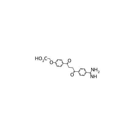 N=C(N)c1ccc(C(=O)CCC(=O)c2ccc(OCC(=O)O)cc2)cc1